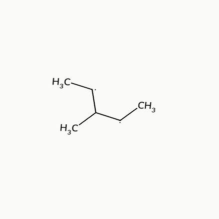 C[CH]C(C)[CH]C